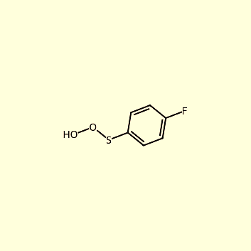 OOSc1ccc(F)cc1